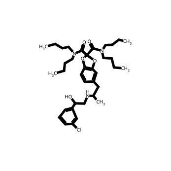 CCCCN(CCCC)C(=O)C1(C(=O)N(CCCC)CCCC)Oc2ccc(CC(C)NCC(O)c3cccc(Cl)c3)cc2O1